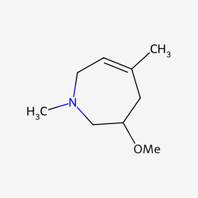 COC1CC(C)=CCN(C)C1